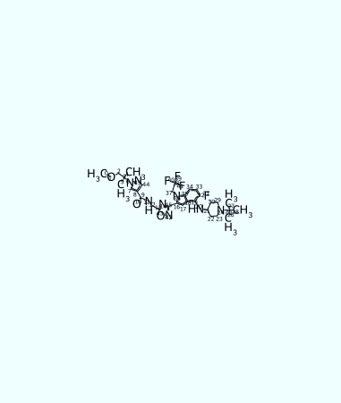 COCC(C)(C)n1cc(C(=O)NCc2nc(-c3cc4c(N[C@@H]5CCN(C(C)(C)C)C[C@H]5F)cccc4n3CC(F)(F)F)no2)cn1